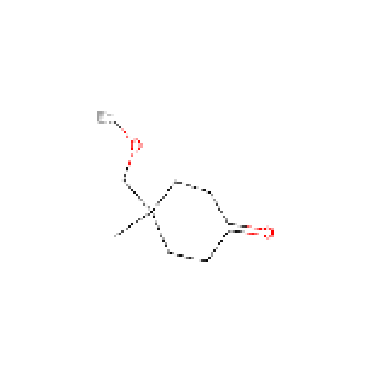 CCOCC1(C)CCC(=O)CC1